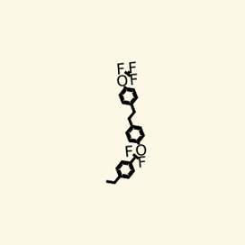 CCc1ccc(C(F)(F)Oc2ccc(CCc3ccc(OC(F)(F)F)cc3)cc2)cc1